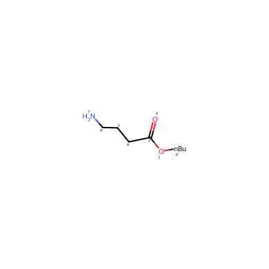 CCCCOC(=O)CCCN